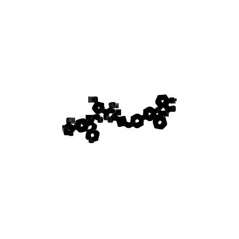 Cc1ncsc1-c1ccc([C@H](CN2CCOCC2)NC(=O)[C@@H]2C[C@@H](O)CN2C(=O)[C@@H](NC(=O)C2CC(CN3CCC(c4ccc5c(c4)C4(CCCCC4)c4nc(=O)c6c(Br)cccc6n4-5)CC3)C2)C(C)(C)C)cc1